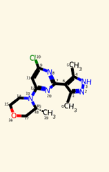 Cc1n[nH]c(C)c1-c1nc(Cl)cc(N2CCOC[C@H]2C)n1